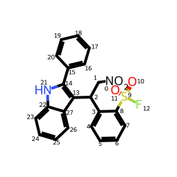 O=[N+]([O-])CC(c1ccccc1S(=O)(=O)F)c1c(-c2ccccc2)[nH]c2ccccc12